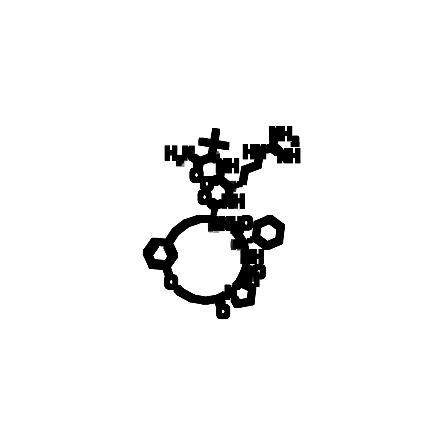 CC(C)(C)[C@H](NC(=O)[C@H](CCCNC(=N)N)NC(=O)[C@@H]1CCCc2cccc(c2)OCCCC(=O)N2CCC[C@H]2C(=O)N[C@@H](C2CCCCC2)C(=O)N1)C(N)=O